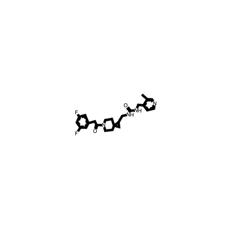 Cc1cnccc1CNC(=O)NCC1CC12CCN(C(=O)Cc1cc(F)cc(F)c1)CC2